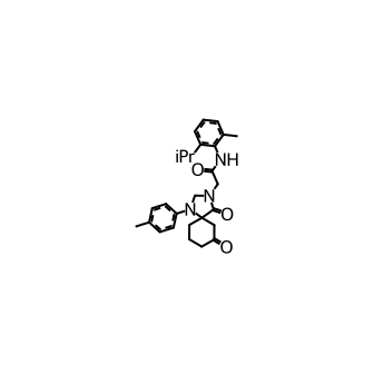 Cc1ccc(N2CN(CC(=O)Nc3c(C)cccc3C(C)C)C(=O)C23CCCC(=O)C3)cc1